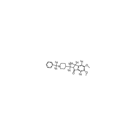 [2H]c1c(OC)c(OC)c([2H])c2c1C(=O)C(C([2H])([2H])C1CCN(C([2H])([2H])c3ccccc3)CC1)C2([2H])[2H]